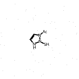 CC(=O)N1C=CNN1S